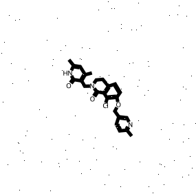 Cc1ccc(COc2ccc3c(c2Cl)C(=O)N(Cc2c(C)cc(C)[nH]c2=O)CC3)cn1